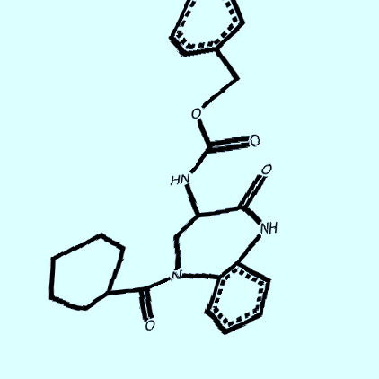 O=C(NC1CN(C(=O)C2CCCCC2)c2ccccc2NC1=O)OCc1ccccc1